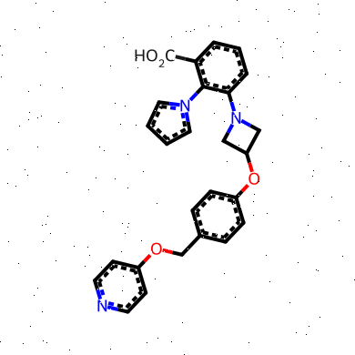 O=C(O)c1cccc(N2CC(Oc3ccc(COc4ccncc4)cc3)C2)c1-n1cccc1